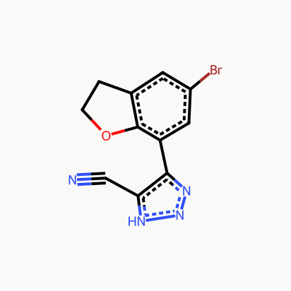 N#Cc1[nH]nnc1-c1cc(Br)cc2c1OCC2